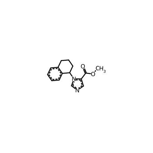 COC(=O)c1cncn1C1CCCc2ccccc21